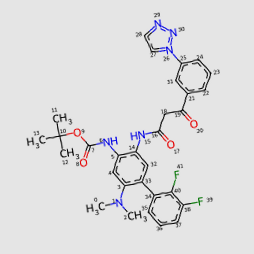 CN(C)c1cc(NC(=O)OC(C)(C)C)c(NC(=O)CC(=O)c2cccc(-n3ccnn3)c2)cc1-c1cccc(F)c1F